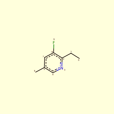 CCc1ncc(C)cc1F